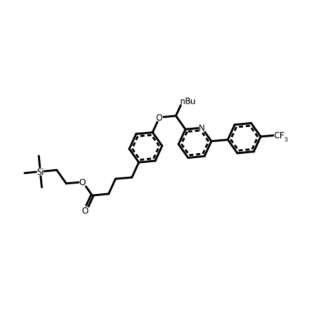 CCCCC(Oc1ccc(CCCC(=O)OCC[Si](C)(C)C)cc1)c1cccc(-c2ccc(C(F)(F)F)cc2)n1